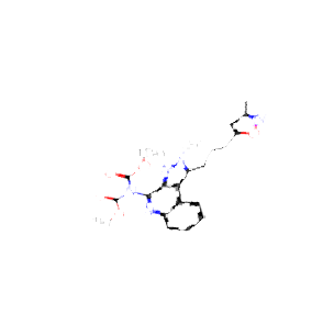 CCCn1nc2c(N(C(=O)OC(C)(C)C)C(=O)OC(C)(C)C)nc3ccccc3c2c1CCCc1cc(C)no1